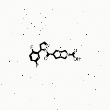 O=C(O)N1CC2CC(C(=O)N3N=CCC3c3cc(F)ccc3F)CC2C1